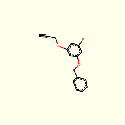 C#CCOc1cc(F)cc(OCc2ccccc2)c1